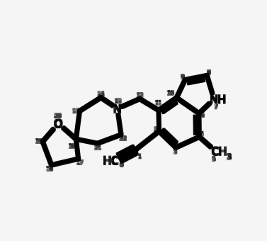 C#Cc1cc(C)c2[nH]ccc2c1CN1CCC2(CCCO2)CC1